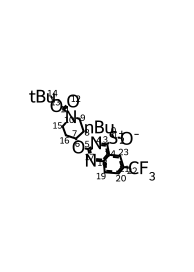 CCCC[S+]([O-])c1nc(OC2CCN(C(=O)OC(C)(C)C)CC2)nc2ccc(C(F)(F)F)cc12